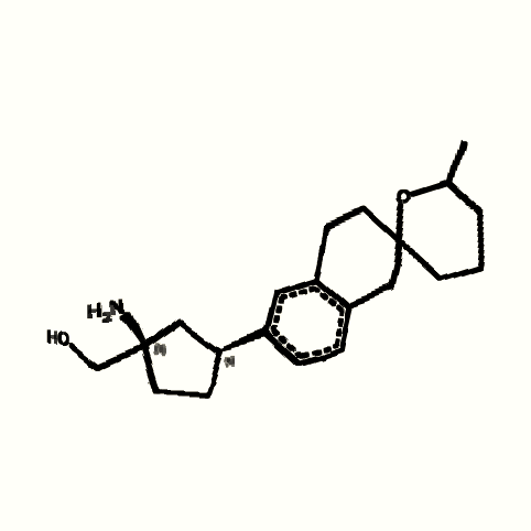 CC1CCCC2(CCc3cc([C@H]4CC[C@](N)(CO)C4)ccc3C2)O1